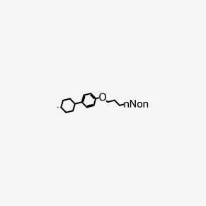 CCCCCCCCCCCCOc1ccc(C2CC[CH]CC2)cc1